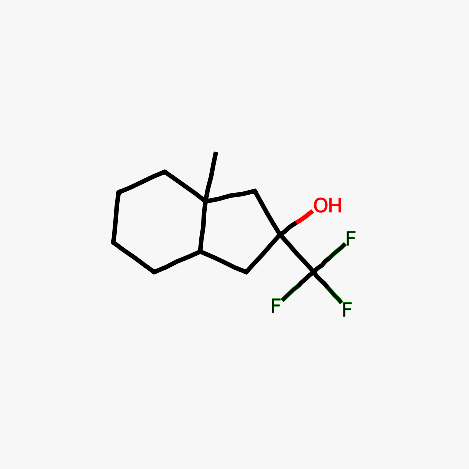 CC12CCCCC1CC(O)(C(F)(F)F)C2